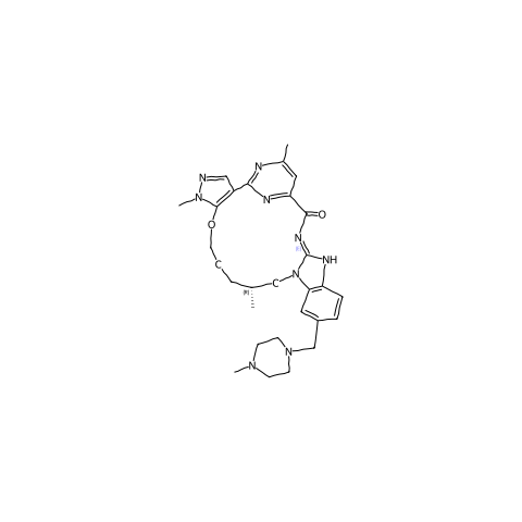 Cc1cc2nc(n1)-c1cnn(C)c1OCCC[C@@H](C)CN1/C(=N/C2=O)Nc2ccc(CN3CCN(C)CC3)cc21